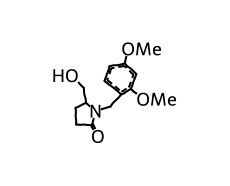 COc1ccc(CN2C(=O)CCC2CO)c(OC)c1